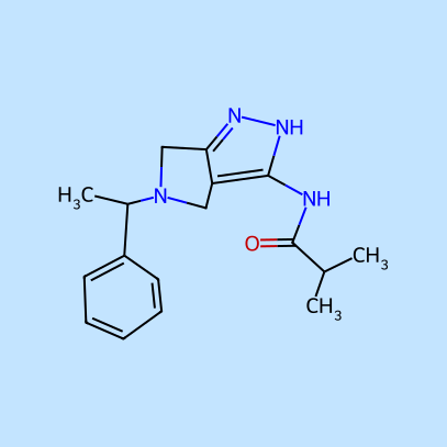 CC(C)C(=O)Nc1[nH]nc2c1CN(C(C)c1ccccc1)C2